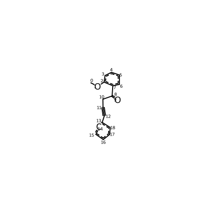 COc1ccccc1C(=O)CC#Cc1ccccc1